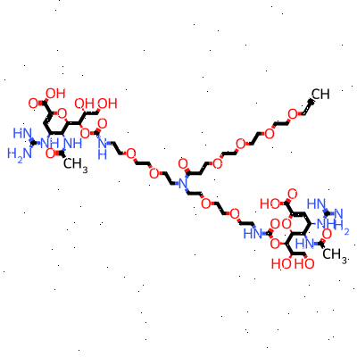 C#CCOCCOCCOCCOCCC(=O)N(CCOCCOCCNC(=O)O[C@@H]([C@@H]1OC(C(=O)O)=C[C@H](NC(=N)N)[C@H]1NC(C)=O)[C@H](O)CO)CCOCCOCCNC(=O)O[C@@H]([C@@H]1OC(C(=O)O)=C[C@H](NC(=N)N)[C@H]1NC(C)=O)[C@H](O)CO